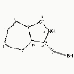 BC[C@H]1NOC2CCCCC21